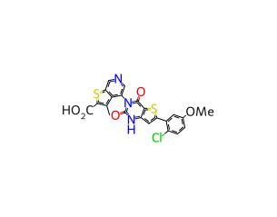 COc1ccc(Cl)c(-c2cc3[nH]c(=O)n(-c4cncc5sc(C(=O)O)c(C)c45)c(=O)c3s2)c1